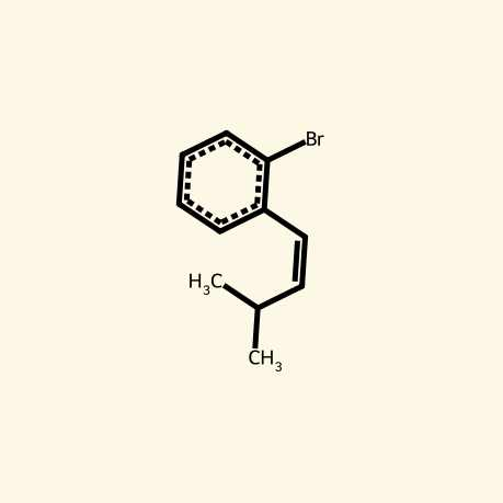 CC(C)/C=C\c1ccccc1Br